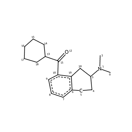 CN(C)C1CCc2cccc(C(=O)C3CCCCC3)c2C1